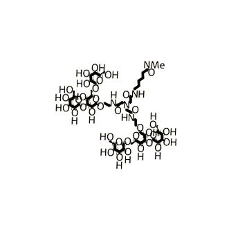 CNC(=O)CCCCCNC(=O)CN(CC(=O)NCCO[C@H]1O[C@H](CO[C@H]2O[C@H](CO)[C@@H](O)[C@H](O)[C@@H]2O)[C@@H](O)[C@H](O[C@H]2O[C@H](CO)[C@@H](O)[C@H](O)[C@@H]2O)[C@@H]1O)CC(=O)NCCO[C@H]1O[C@H](CO[C@H]2O[C@H](CO)[C@@H](O)[C@H](O)[C@@H]2O)[C@@H](O)[C@H](O[C@H]2O[C@H](CO)[C@@H](O)[C@H](O)[C@@H]2O)[C@@H]1O